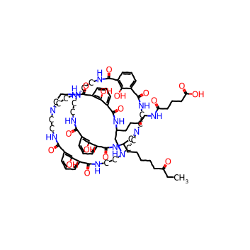 CCC(=O)CCCCCC1CN2CCNC(=O)c3cccc(c3O)C(=O)NCCN(CCNC(=O)c3cccc(c3O)C(=O)N1)CCN1CCNC(=O)c3cccc(c3O)C(=O)NCCN(CC2)CC(CCCCNC(=O)CCCC(=O)O)NC(=O)c2cccc(c2O)C(=O)NCC1